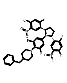 O=[N+]([O-])c1cc([C@H]2CC[C@H](c3cc([N+](=O)[O-])c(Cl)cc3F)N2c2cc(F)c(N3CCC(Cc4ccccc4)CC3)c(F)c2)c(F)cc1Cl